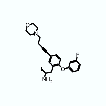 NC(I)Cc1cc(C#CCCN2CCOCC2)ccc1Oc1cccc(F)c1